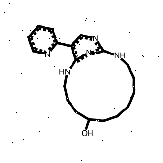 OC1CCCCCCNc2ncc(-c3ccccn3)c(n2)NCCC1